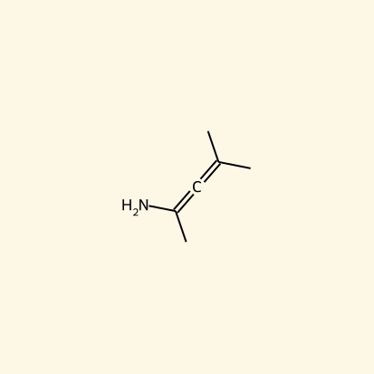 CC(C)=C=C(C)N